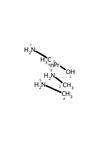 CC[CH]O.CN.CN.CN